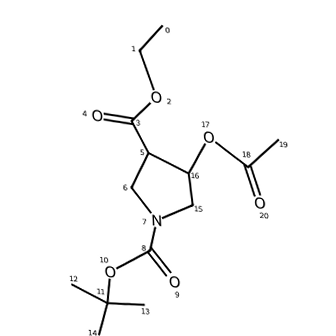 CCOC(=O)C1CN(C(=O)OC(C)(C)C)CC1OC(C)=O